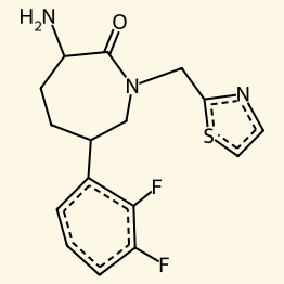 NC1CCC(c2cccc(F)c2F)CN(Cc2nccs2)C1=O